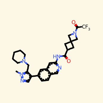 Cn1ncc(-c2ccc3cnc(NC(=O)C4CC5(C4)CN(C(=O)C(F)(F)F)C5)cc3c2)c1CN1CCCCC1